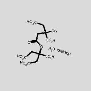 O.O=C(O)CC(O)(CC(=O)OC(CC(=O)O)(CC(=O)O)C(=O)O)C(=O)O.[KH].[KH].[KH]